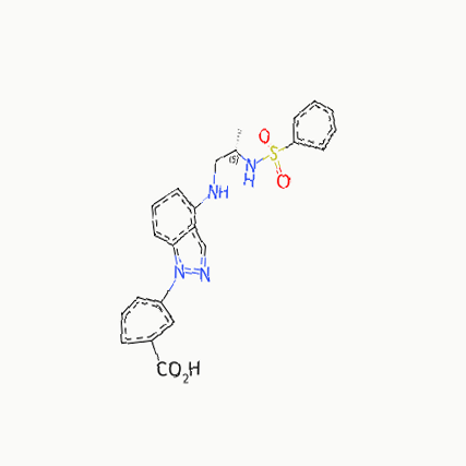 C[C@@H](CNc1cccc2c1cnn2-c1cccc(C(=O)O)c1)NS(=O)(=O)c1ccccc1